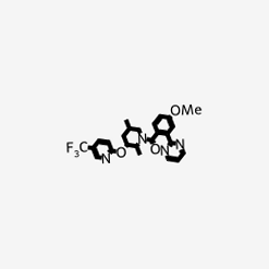 COc1ccc(C(=O)N2CC(C)CC(Oc3ccc(C(F)(F)F)cn3)C2C)c(-c2ncccn2)c1